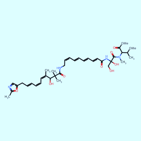 COC(=O)C(C(C)OC)N(C)C(=O)C(O)(CO)NC(=O)/C=C/C=C/C=C/C=C\CNC(=O)C(C)(C)C(O)\C(C)=C/C=C\C=C\Cc1cnc(C)o1